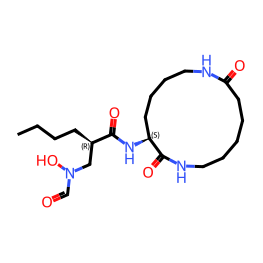 CCCC[C@H](CN(O)C=O)C(=O)N[C@H]1CCCCNC(=O)CCCCCNC1=O